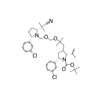 C=C(C)[C@H]1C(CC(C)(C)OCOCN2[C@H](c3cccc(Cl)c3)CC[C@@H]2C(C)(C)C#N)C[C@@H](c2cccc(Cl)c2)N1C(=O)OC(C)(C)C